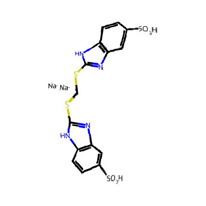 O=S(=O)(O)c1ccc2[nH]c(SCSc3nc4cc(S(=O)(=O)O)ccc4[nH]3)nc2c1.[Na].[Na]